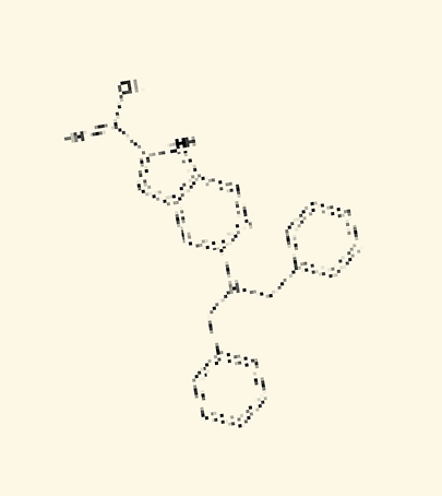 CC(=N)c1cc2cc(N(Cc3ccccc3)Cc3ccccc3)ncc2[nH]1